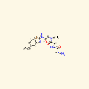 CSc1ccc2sc(NC(=O)CN(C)C(=O)CNC(=O)CN)nc2c1